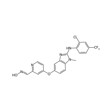 Cn1c(Nc2ccc(C(F)(F)F)cc2Cl)nc2cc(Oc3ccnc(/C=N/O)c3)ccc21